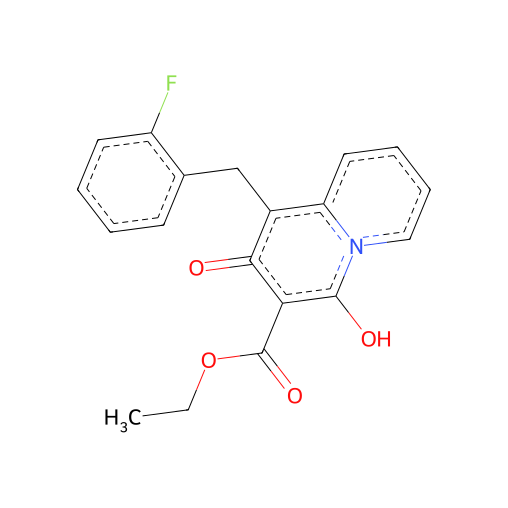 CCOC(=O)c1c(O)n2ccccc2c(Cc2ccccc2F)c1=O